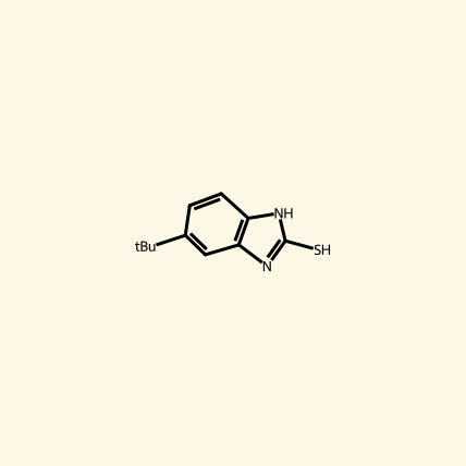 CC(C)(C)c1ccc2[nH]c(S)nc2c1